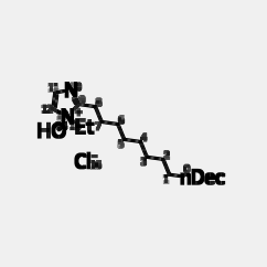 CCCCCCCCCCCCCCCCCCC1=NC=C[N+]1(O)CC.[Cl-]